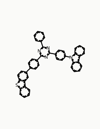 c1ccc(-c2nc(-c3ccc(-c4ccc5sc6ccccc6c5c4)cc3)nc(-c3ccc(-n4c5ccccc5c5ccccc54)cc3)n2)cc1